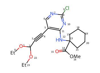 CCOC(C#Cc1cnc(Cl)nc1NC1(C(=O)OC)CCCCC1)OCC